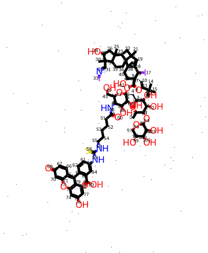 CC1O[C@@H](C[C@@]2(OC(=O)[C@]3(CCC(C)(C)C)C(I)C4=CC5(C)CC6C7(C)C[C@H](O)C(C)(/C=N/I)C7CCC65C4(C)C[C@@H]3O)OC(CO)[C@H](NC(=O)CCCCCNC(=S)Nc3ccc(-c4c5ccc(=O)cc-5oc5cc(O)ccc45)c(C(=O)O)c3)C(O)C2O)C(O)C(O)[C@H]1O[C@@H]1OC[C@@H](O)C(O)C1O